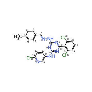 Cc1ccc(C=NNc2nc(Nc3ccc(Cl)nc3)nc(-c3c(Cl)cccc3Cl)n2)cc1